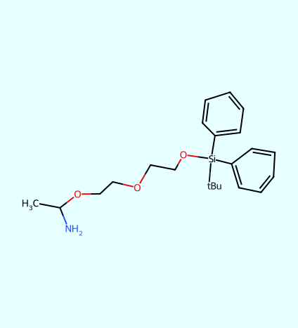 CC(N)OCCOCCO[Si](c1ccccc1)(c1ccccc1)C(C)(C)C